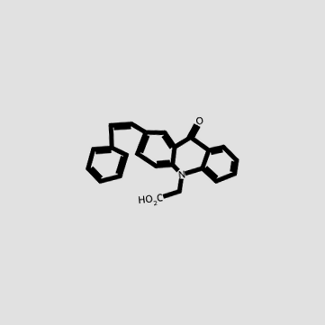 O=C(O)Cn1c2ccccc2c(=O)c2cc(/C=C\c3ccccc3)ccc21